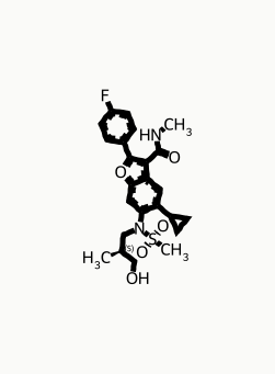 CNC(=O)c1c(-c2ccc(F)cc2)oc2cc(N(C[C@H](C)CO)S(C)(=O)=O)c(C3CC3)cc12